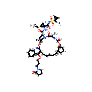 C=C[C@@H]1C[C@]1(NC(=O)[C@@H]1C[C@@H]2CN1C(=O)[C@H](C(C)(C)C)NC(=O)O[C@@H]1CCC[C@H]1CC/C=C/Cc1c(nc3ccccc3c1OCCCN1CCCC1=O)O2)C(=O)NS(=O)(=O)C1(C)CC1